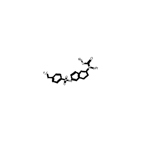 CCCN(C(=O)OC(C)(C)C)C1CCc2cc(NS(=O)(=O)c3ccc(CC(F)(F)F)cc3)ccc2C1